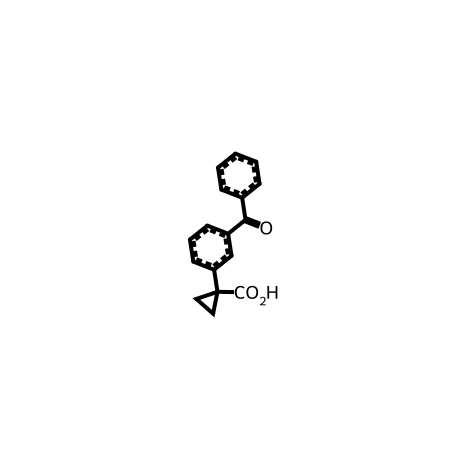 O=C(c1ccccc1)c1cccc(C2(C(=O)O)CC2)c1